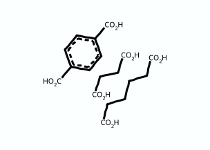 O=C(O)CCC(=O)O.O=C(O)CCCCC(=O)O.O=C(O)c1ccc(C(=O)O)cc1